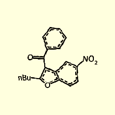 CCCCc1oc2ccc([N+](=O)[O-])cc2c1C(=O)c1ccccc1